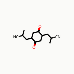 CC(C#N)CC1CC(=O)C(CC(C)C#N)CC1=O